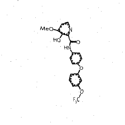 COc1ccnc(C(=O)Nc2ccc(Oc3cccc(OC(F)(F)F)c3)cc2)c1O